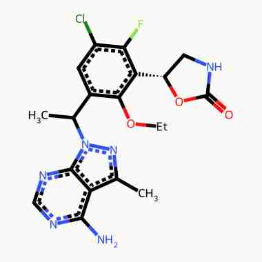 CCOc1c(C(C)n2nc(C)c3c(N)ncnc32)cc(Cl)c(F)c1[C@@H]1CNC(=O)O1